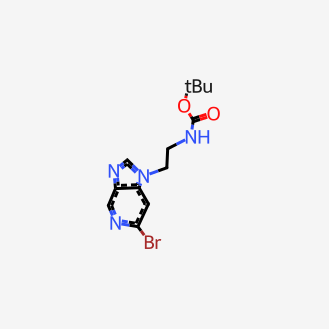 CC(C)(C)OC(=O)NCCn1cnc2cnc(Br)cc21